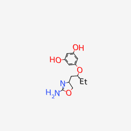 CC[C@@H](CC1COC(N)=N1)Oc1cc(O)cc(O)c1